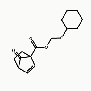 O=C(OCOC1CCCCC1)C12C=CC(CC1)C2=O